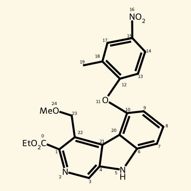 CCOC(=O)c1ncc2[nH]c3cccc(Oc4ccc([N+](=O)[O-])cc4C)c3c2c1COC